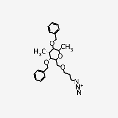 C[C@@H]1C(OCc2ccccc2)[C@@H](C)OC(COCCCN=[N+]=[N-])[C@@H]1OCc1ccccc1